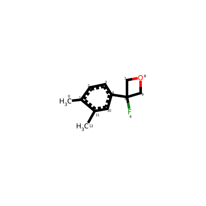 Cc1ccc(C2(F)COC2)cc1C